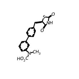 CN(C(=O)O)c1cccc(-c2ccc(C=C3SC(=O)NC3=O)cc2)c1